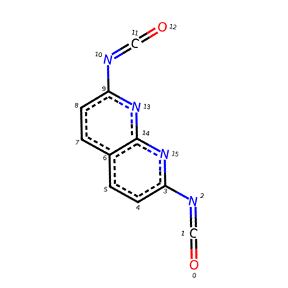 O=C=Nc1ccc2ccc(N=C=O)nc2n1